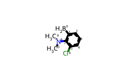 Bc1cccc(Cl)c1N(C)C